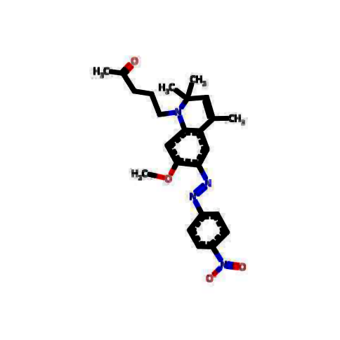 COc1cc2c(cc1/N=N/c1ccc([N+](=O)[O-])cc1)C(C)=CC(C)(C)N2CCCC(C)=O